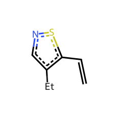 C=Cc1sncc1CC